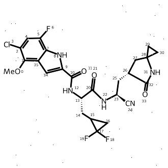 COc1c(Cl)cc(F)c2[nH]c(C(=O)N[C@@H](CC3CC3(F)F)C(=O)N[C@H](C#N)C[C@@H]3CC4(CC4)NC3=O)cc12